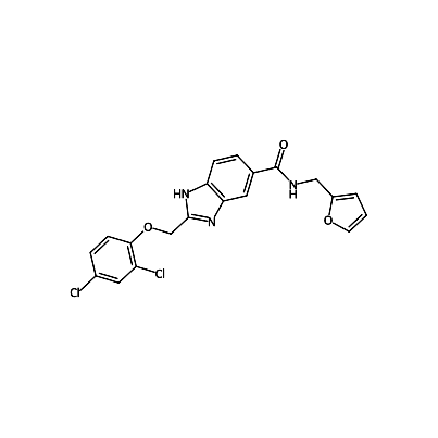 O=C(NCc1ccco1)c1ccc2[nH]c(COc3ccc(Cl)cc3Cl)nc2c1